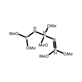 COP(N[PH](N=[PH](OC)OC)(OC)OC)OC